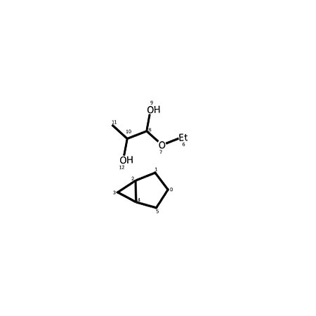 C1CC2CC2C1.CCOC(O)C(C)O